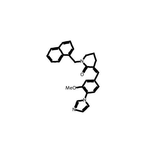 COc1cc(C=C2CCCN(Cc3cccc4ccccc34)C2=O)ccc1-n1ccnc1